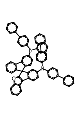 c1ccc(-c2ccc(N(c3ccccc3)c3ccc4c(c3)-c3ccccc3C43c4cc(N(c5ccc(-c6ccccc6)cc5)c5ccc(-c6ccccc6)cc5)ccc4-c4c3oc3ccccc43)cc2)cc1